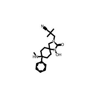 CNC1(c2ccccc2)CCC2(CC1)CN(CC(C)(C)C#N)C(=O)N2O